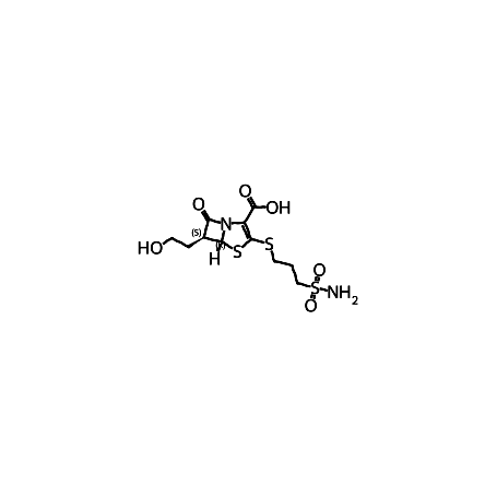 NS(=O)(=O)CCCSC1=C(C(=O)O)N2C(=O)[C@H](CCO)[C@H]2S1